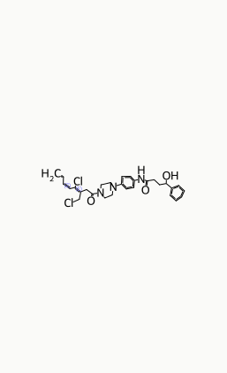 C=C/C=C\C(Cl)=C(/CCl)CC(=O)N1CCN(c2ccc(NC(=O)CCC(O)c3ccccc3)cc2)CC1